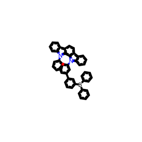 c1ccc(B(c2ccccc2)c2cccc(-c3cccc(-n4c5ccccc5c5ccc6c7ccccc7n(-c7ccccc7)c6c54)c3)c2)cc1